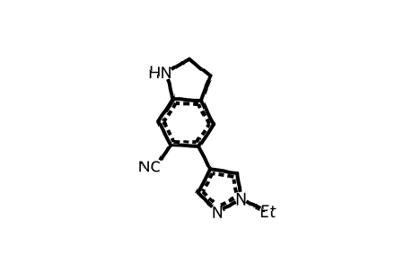 CCn1cc(-c2cc3c(cc2C#N)NCC3)cn1